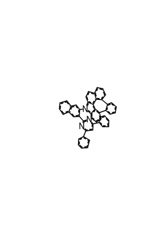 c1ccc(-c2cc(-c3ccccc3)nc(-c3cc4ccccc4cc3-n3c4cccc5c4c4c6c(cccc6ccc43)-c3ccccc3-5)n2)cc1